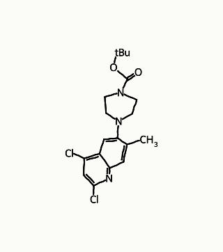 Cc1cc2nc(Cl)cc(Cl)c2cc1N1CCN(C(=O)OC(C)(C)C)CC1